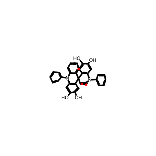 Oc1cc2c(cc1O)C1(c3ccccc3N2c2ccccc2)c2ccccc2N(c2ccccc2)c2cc(O)c(O)cc21